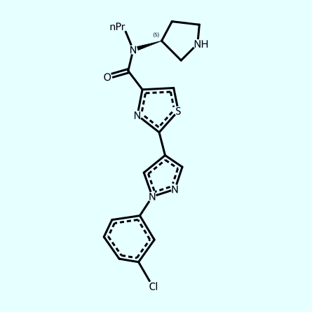 CCCN(C(=O)c1csc(-c2cnn(-c3cccc(Cl)c3)c2)n1)[C@H]1CCNC1